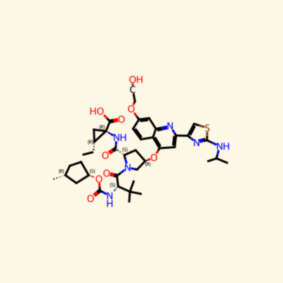 CC[C@@H]1C[C@]1(NC(=O)[C@@H]1C[C@@H](Oc2cc(-c3csc(NC(C)C)n3)nc3cc(OCCO)ccc23)CN1C(=O)[C@@H](NC(=O)O[C@H]1CC[C@@H](C)C1)C(C)(C)C)C(=O)O